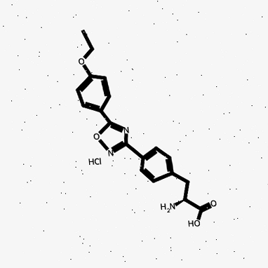 CCOc1ccc(-c2nc(-c3ccc(C[C@H](N)C(=O)O)cc3)no2)cc1.Cl